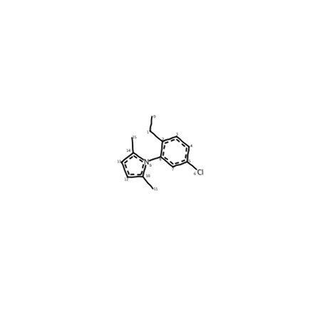 CCc1ccc(Cl)cc1-n1c(C)ccc1C